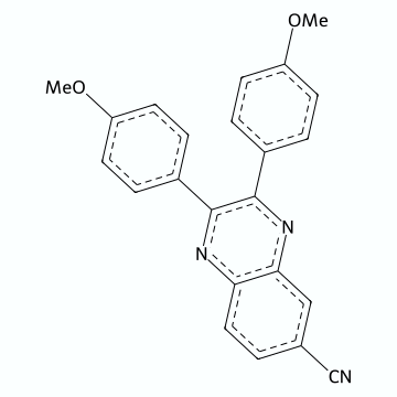 COc1ccc(-c2nc3ccc(C#N)cc3nc2-c2ccc(OC)cc2)cc1